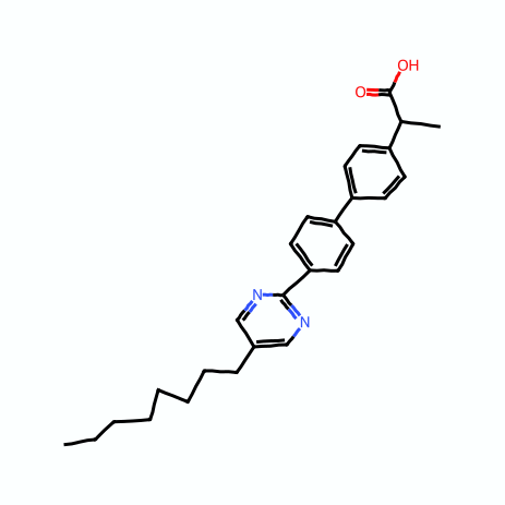 CCCCCCCCc1cnc(-c2ccc(-c3ccc(C(C)C(=O)O)cc3)cc2)nc1